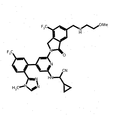 COCCNCc1cc2c(c(C(F)(F)F)c1)CN(c1cc(-c3cc(C(F)(F)F)ccc3-c3nncn3C)cc(NC(C#N)C3CC3)n1)C2=O